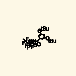 CC(C)(C)Oc1cc(OC(C)(C)C)cc(C(=O)NS(=O)(=O)C(F)(F)C(F)(F)C(C)(F)F)c1